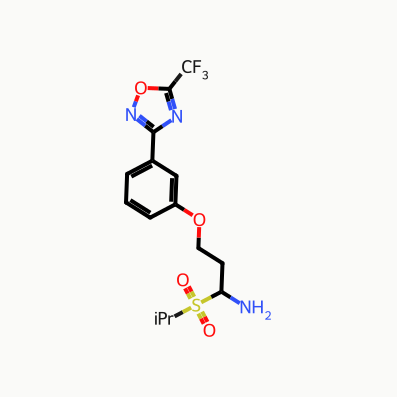 CC(C)S(=O)(=O)C(N)CCOc1cccc(-c2noc(C(F)(F)F)n2)c1